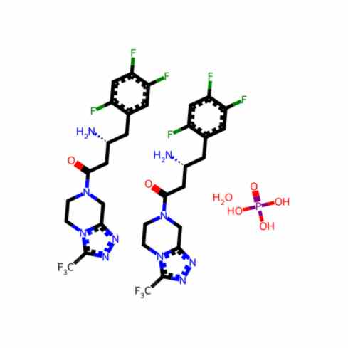 N[C@@H](CC(=O)N1CCn2c(nnc2C(F)(F)F)C1)Cc1cc(F)c(F)cc1F.N[C@@H](CC(=O)N1CCn2c(nnc2C(F)(F)F)C1)Cc1cc(F)c(F)cc1F.O.O=P(O)(O)O